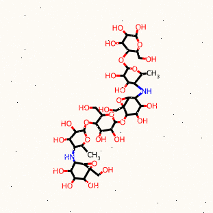 CC1OC(OC2C(CO)OC(O)C(O)C2O)C(O)C(O)C1NC1C(O)C(O)C(OC2OC(CO)C(OC3OC(C)C(NC4C(O)C(O)C(O)C5(CO)OC45)C(O)C3O)C(O)C2O)C2(CO)OC12